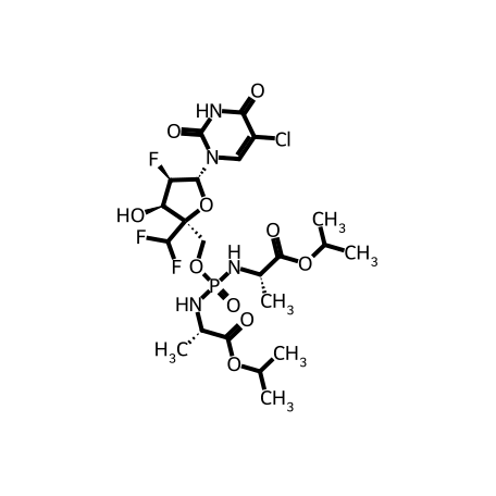 CC(C)OC(=O)[C@H](C)NP(=O)(N[C@@H](C)C(=O)OC(C)C)OC[C@@]1(C(F)F)O[C@@H](n2cc(Cl)c(=O)[nH]c2=O)[C@H](F)[C@@H]1O